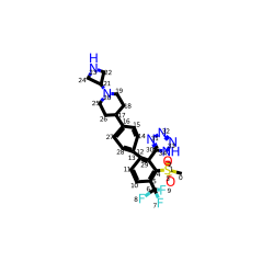 CS(=O)(=O)c1c(C(F)(F)F)ccc(-c2ccc(C3CCN(C4CNC4)CC3)cc2)c1-c1nnn[nH]1